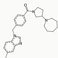 Cc1ccc2c(c1)ncn2Cc1ccc(C(=O)N2CCC(N3CCCCCC3)C2)cc1